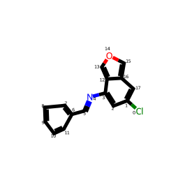 Clc1cc(/N=C/c2ccccc2)c2cocc2c1